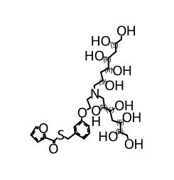 O=C(SCc1cccc(OCCN(C[C@@H](O)C[C@@H](O)[C@H](O)C[C@H](O)CO)C[C@@H](O)[C@@H](O)C[C@H](O)[C@H](O)CO)c1)c1ccco1